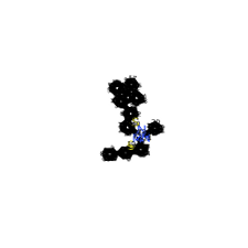 c1ccc(-c2ccc3c(c2)sc2c(-c4nc(-c5ccccc5)nc(-c5cccc6c5sc5ccc(-c7cccc8c7-c7ccccc7C8(c7ccccc7)c7ccccc7)cc56)n4)cccc23)cc1